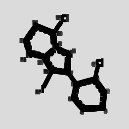 Clc1ccccc1-c1nn2c(Cl)ccnc2c1I